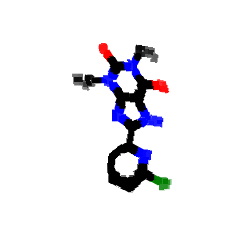 Cn1c(=O)c2[nH]c(-c3cccc(Br)n3)nc2n(C)c1=O